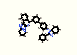 c1ccc(-c2nc3ccccc3n2-c2ccc(-c3cccc(-c4nc5c(nc6ccccn65)c5ccccc45)c3)cc2)cc1